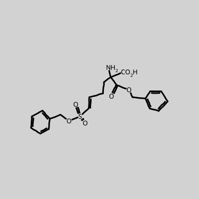 NC(CC/C=C/S(=O)(=O)OCc1ccccc1)(C(=O)O)C(=O)OCc1ccccc1